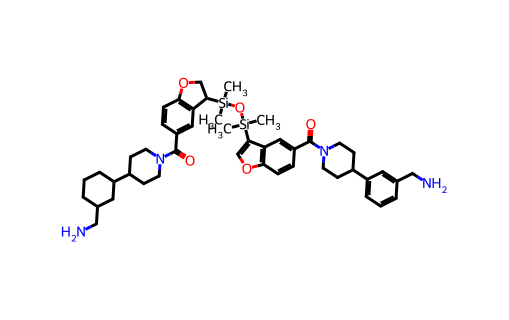 C[Si](C)(O[Si](C)(C)C1COc2ccc(C(=O)N3CCC(C4CCCC(CN)C4)CC3)cc21)c1coc2ccc(C(=O)N3CCC(c4cccc(CN)c4)CC3)cc12